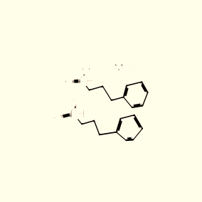 O=[PH]([O-])CCCc1ccccc1.O=[PH]([O-])CCCc1ccccc1.[Mg+2]